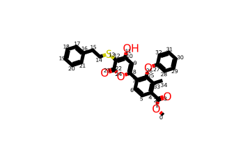 COC(=O)c1ccc(-c2cc(O)c(SCCc3ccccc3)c(=O)o2)c(Oc2ccccc2)c1C